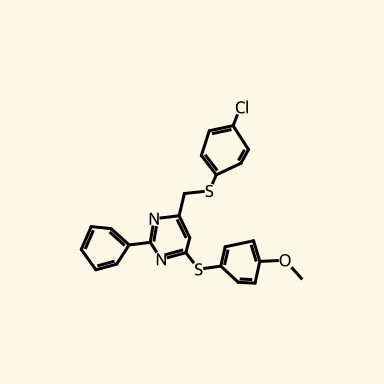 COc1ccc(Sc2cc(CSc3ccc(Cl)cc3)nc(-c3ccccc3)n2)cc1